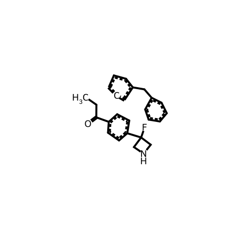 CCC(=O)c1ccc(C2(F)CNC2)cc1.c1ccc(Cc2ccccc2)cc1